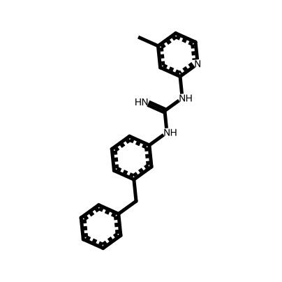 Cc1ccnc(NC(=N)Nc2cccc(Cc3ccccc3)c2)c1